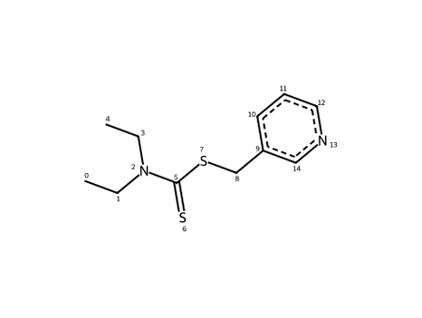 CCN(CC)C(=S)SCc1cccnc1